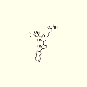 CNC(=O)CCCCCC(NC(=O)c1cc(C(C)C)on1)c1ncc(-c2ccc3ccncc3c2)[nH]1